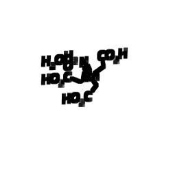 O.O.[N]#[Mn]([CH2]C(=O)O)([CH2]C(=O)O)[CH2]C(=O)O